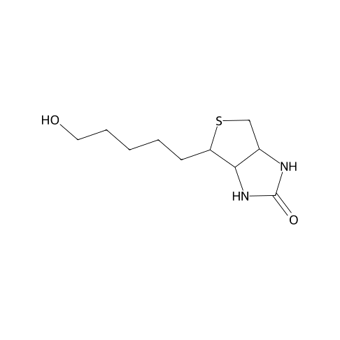 O=C1NC2CSC(CCCCCO)C2N1